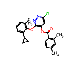 Cc1ccc(C(=O)Oc2cc(Cl)nnc2Oc2c(C)cccc2C2CC2)c(C)c1